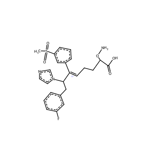 CS(=O)(=O)c1cccc(/C(=C\CCC(ON)C(=O)O)C(Cc2cccc(F)c2)n2ccnc2)c1